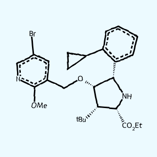 CCOC(=O)[C@H]1N[C@@H](c2ccccc2C2CC2)[C@@H](OCc2cc(Br)cnc2OC)[C@H]1C(C)(C)C